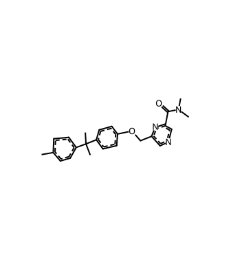 Cc1ccc(C(C)(C)c2ccc(OCc3cncc(C(=O)N(C)C)n3)cc2)cc1